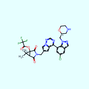 CC1(C)C2C(=O)N(Cc3cc4c(-c5cc(Cl)cc6cnn(C[C@@H]7CNCCO7)c56)ncnn4c3)C(=O)C21OC(=O)C(F)(F)F